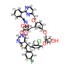 Cc1c2ccc(c1Cl)O[C@H](CO)COc1ccc(OCc3ccnc(-c4ccccc4C#N)n3)c(c1)C[C@H](C(=O)O)Oc1ncnc3sc(-c4ccc(F)cc4)c-2c13